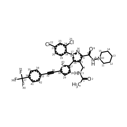 CC(=O)NCc1c(C(=O)NN2CCCCC2)nn(-c2ccc(Cl)cc2Cl)c1-c1ccc(C#Cc2ccc(C(F)(F)F)cc2)s1